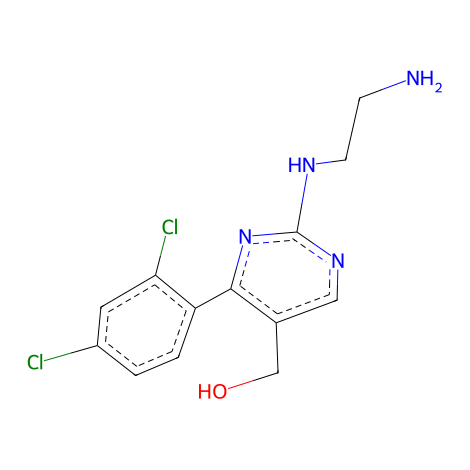 NCCNc1ncc(CO)c(-c2ccc(Cl)cc2Cl)n1